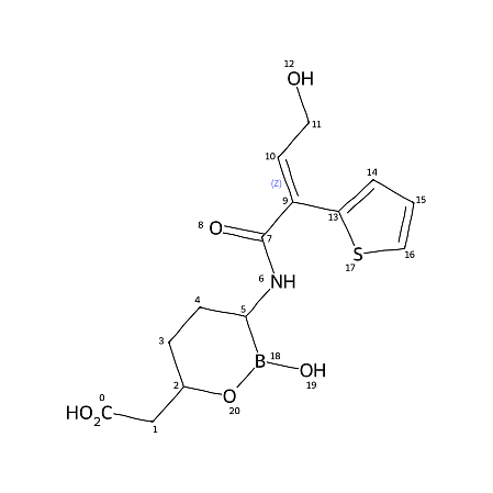 O=C(O)CC1CCC(NC(=O)/C(=C/CO)c2cccs2)B(O)O1